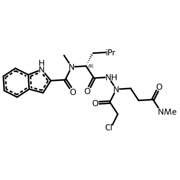 CNC(=O)CCN(NC(=O)[C@@H](CC(C)C)N(C)C(=O)c1cc2ccccc2[nH]1)C(=O)CCl